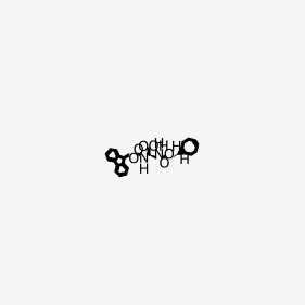 O=C(NC[C@@H](NC(=O)OCC1c2ccccc2-c2ccccc21)C(=O)O)OC[C@H]1[C@@H]2CCC#CCC[C@@H]21